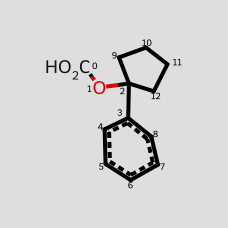 O=C(O)OC1(c2ccccc2)CCCC1